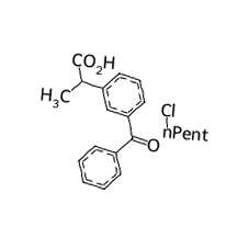 CC(C(=O)O)c1cccc(C(=O)c2ccccc2)c1.CCCCCCl